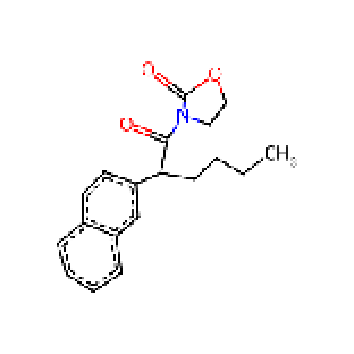 CCCCC(C(=O)N1CCOC1=O)c1ccc2ccccc2c1